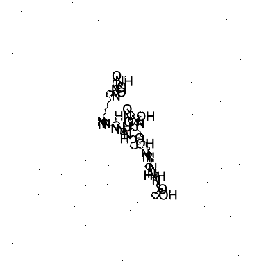 CN1c2c(CCCCCCCc3cn(Cc4cccc(N5C[C@H]6C[C@@H]5CN6/C=C/C(=O)c5ccccc5O)n4)nn3)cc(C3[C@H]4C[C@H](CN4c4cccc(Cn5cc(CCCCCCc6cccc7c6n(C)c(=O)n7C6CCC(=O)NC6=O)nn5)n4)N3/C=C/C(=O)c3ccccc3O)cc2N(C2CCC(=O)NC2=O)C1O